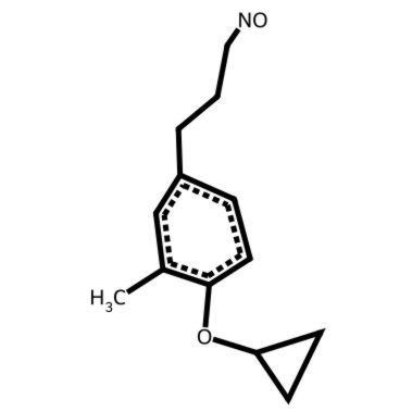 Cc1cc(CCCN=O)ccc1OC1CC1